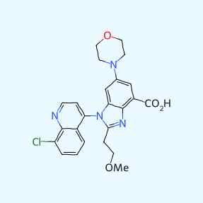 COCCc1nc2c(C(=O)O)cc(N3CCOCC3)cc2n1-c1ccnc2c(Cl)cccc12